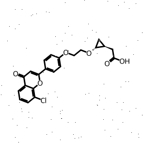 O=C(O)C[C@@H]1C[C@H]1OCCOc1ccc(-c2cc(=O)c3cccc(Cl)c3o2)cc1